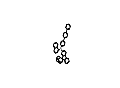 c1ccc(-c2ccc(-c3ccc(N(c4ccc5c(c4)C4(c6ccccc6-5)C5CC6CC(C5)CC4C6)c4cccc5ccccc45)cc3)cc2)cc1